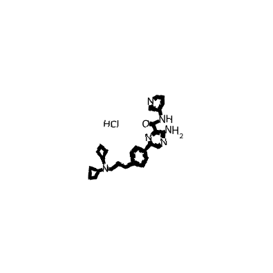 Cl.Nc1ncc(-c2ccc(CCCN(C3CCC3)C3CCC3)cc2)nc1C(=O)Nc1cccnc1